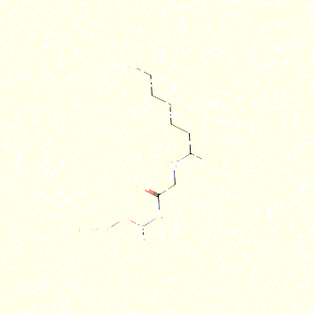 CCCCCCCCCCCCCCCC(NCC(=O)NC(CC)OCCCCC)C(=O)O